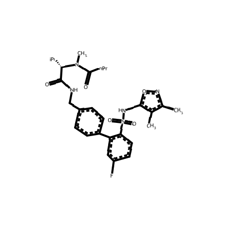 CCCC(=O)N(C)[C@H](C(=O)NCc1ccc(-c2cc(F)ccc2S(=O)(=O)Nc2onc(C)c2C)cc1)C(C)C